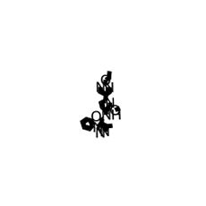 CCOc1ncc(-c2ccc(NC(=O)c3c(C)nnn3-c3ccccc3)c(OC)n2)cn1